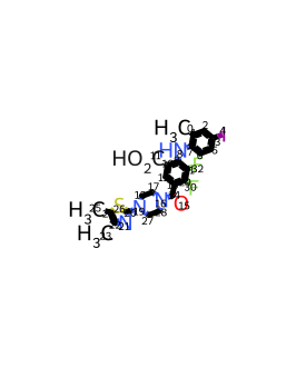 Cc1cc(I)ccc1Nc1c(C(=O)O)cc(C(=O)N2CCN(c3nc(C)c(C)s3)CC2)c(F)c1F